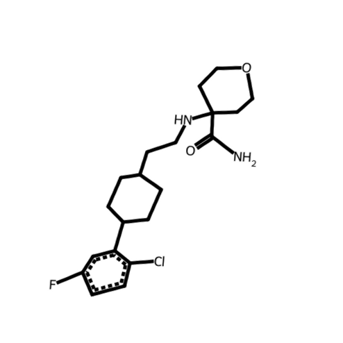 NC(=O)C1(NCCC2CCC(c3cc(F)ccc3Cl)CC2)CCOCC1